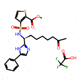 COC(=O)c1sccc1S(=O)(=O)N[C@@H](CCCCCC(C)=O)c1ncc(-c2ccccc2)[nH]1.O=C(O)C(F)(F)F